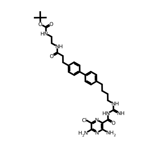 CC(C)(C)OC(=O)NCCNC(=O)CCc1ccc(-c2ccc(CCCCNC(=N)NC(=O)c3nc(Cl)c(N)nc3N)cc2)cc1